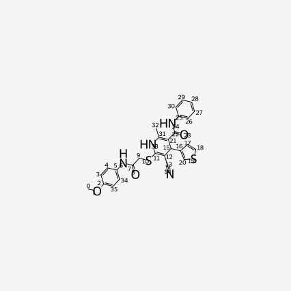 COc1ccc(NC(=O)CSC2=C(C#N)C(c3ccsc3)C(C(=O)Nc3ccccc3)=C(C)N2)cc1